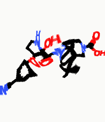 CC(C)(C)C12CN(C(=O)O)CC(CN(C(=O)C3(O)NCCC3Oc3ccc(C#N)cc3)C1)C2(C)C